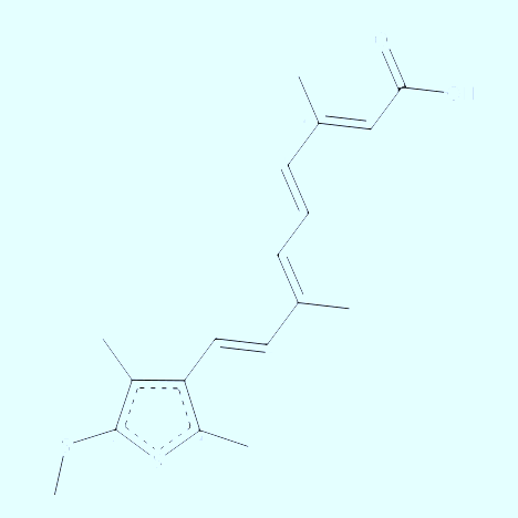 CSc1sc(C)c(C=CC(C)=CC=CC(C)=CC(=O)O)c1C